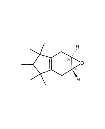 CC1C(C)(C)C2=C(C[C@H]3O[C@@H]3C2)C1(C)C